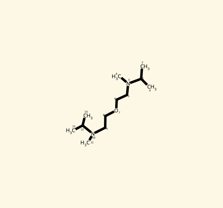 CC(C)N(C)CCOCCN(C)C(C)C